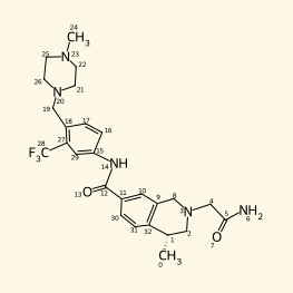 C[C@H]1CN(CC(N)=O)Cc2cc(C(=O)Nc3ccc(CN4CCN(C)CC4)c(C(F)(F)F)c3)ccc21